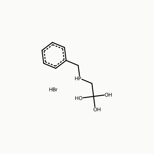 Br.OC(O)(O)CPCc1ccccc1